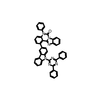 O=c1n(-c2ccccc2)c2cccc(-c3ccc4c(c3)c3ccccc3n4-c3nc(-c4ccccc4)nc(-c4ccccc4)n3)c2c2nc3ccccc3n12